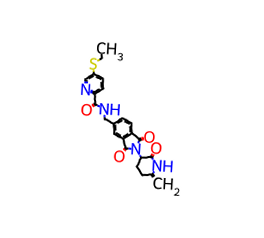 C=C1CCC(N2C(=O)c3ccc(CNC(=O)c4ccc(SCC)cn4)cc3C2=O)C(=O)N1